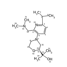 CC(C)c1ccc(N2CCO[C@H](C(C)(C)O)C2)c(CN(C)C)n1